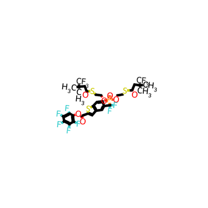 CC(C)(CC(=O)SCCOP(=O)(OCCSC(=O)CC(C)(C)C(F)(F)F)C(F)(F)c1ccc2sc(C(=O)Oc3c(F)c(F)c(F)c(F)c3F)cc2c1)C(F)(F)F